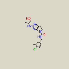 Cc1cc(CNC(=O)N2CCc3cnc(N[C@@H](C)CO)nc3C2)ccc1Cl